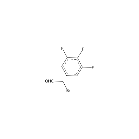 Fc1cccc(F)c1F.O=CCBr